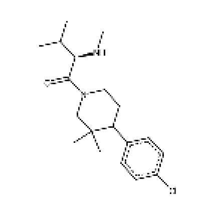 CN[C@@H](C(=O)N1CCC(c2ccc(Cl)cc2)C(C)(C)C1)C(C)C